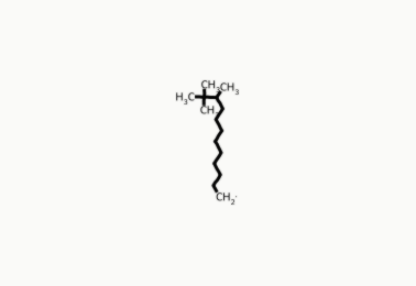 [CH2]CCCCCCCCC(C)C(C)(C)C